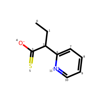 CCC(C([O-])=S)C1=CC=CC=[N+]1